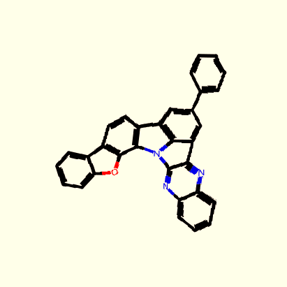 c1ccc(-c2cc3c4ccc5c6ccccc6oc5c4n4c5nc6ccccc6nc5c(c2)c34)cc1